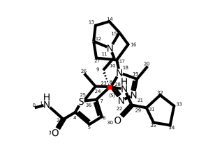 CNC(=O)c1ccc([C@H](CCN2C3CCC2CC(n2c(C)nnc2C(C)C)C3)NC(=O)C2CCCC2)s1